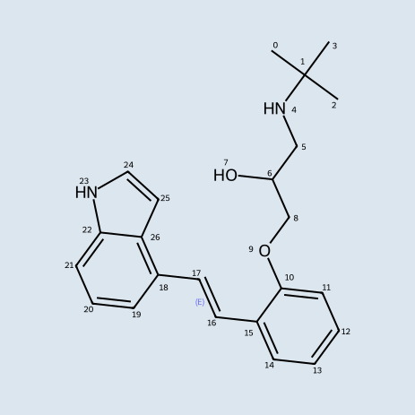 CC(C)(C)NCC(O)COc1ccccc1/C=C/c1cccc2[nH]ccc12